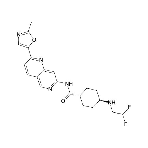 Cc1ncc(-c2ccc3cnc(NC(=O)[C@H]4CC[C@H](NCC(F)F)CC4)cc3n2)o1